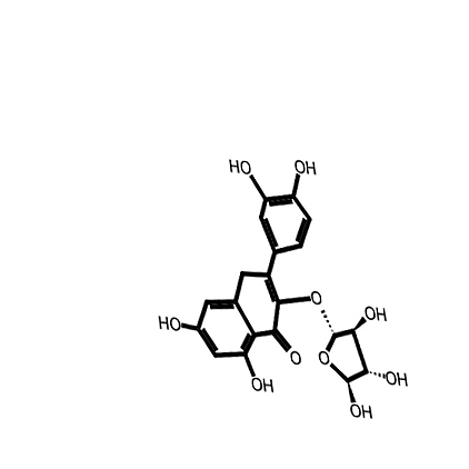 O=C1C(O[C@H]2O[C@H](O)[C@@H](O)[C@@H]2O)=C(c2ccc(O)c(O)c2)Cc2cc(O)cc(O)c21